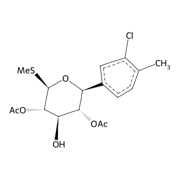 CS[C@H]1O[C@@H](c2ccc(C)c(Cl)c2)[C@H](OC(C)=O)[C@@H](O)[C@@H]1OC(C)=O